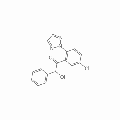 O=C(c1cc(Cl)ccc1-n1nccn1)C(O)c1ccccc1